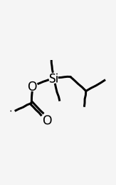 [CH2]C(=O)O[Si](C)(C)CC(C)C